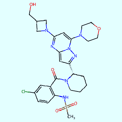 CS(=O)(=O)Nc1ccc(Cl)cc1C(=O)N1CCCC[C@H]1c1cc2nc(N3CC(CO)C3)cc(N3CCOCC3)n2n1